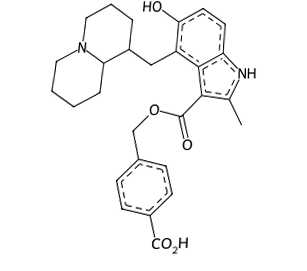 Cc1[nH]c2ccc(O)c(CC3CCCN4CCCCC34)c2c1C(=O)OCc1ccc(C(=O)O)cc1